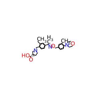 CCc1cc(/C(C)=N/OCc2ccc(N3CCOCC3)c(C)c2)ccc1CN1CC[C@H](C(=O)O)C1